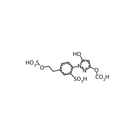 O=C(O)Oc1cc(O)n(-c2ccc(CCOS(=O)(=O)O)cc2S(=O)(=O)O)n1